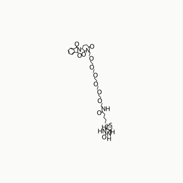 O=C(CCCC[C@@H]1SC[C@@H]2NC(=O)N[C@@H]21)NCCOCCOCCOCCOCCOCCOCCN1C(=O)CCC(N2C(=O)c3ccccc3C2=O)C1=O